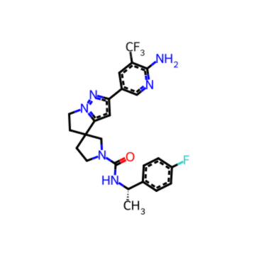 C[C@H](NC(=O)N1CCC2(CCn3nc(-c4cnc(N)c(C(F)(F)F)c4)cc32)C1)c1ccc(F)cc1